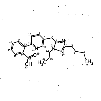 CCCCc1nc(Cc2ccc(-c3ccccc3C(=O)O)nc2)n(CCC)n1